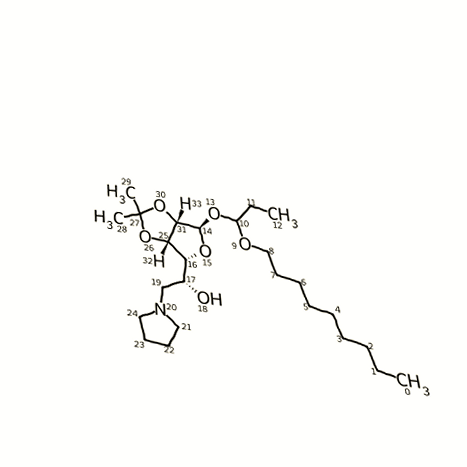 CCCCCCCCCOC(CC)O[C@H]1O[C@H]([C@H](O)CN2CCCC2)[C@@H]2OC(C)(C)O[C@H]12